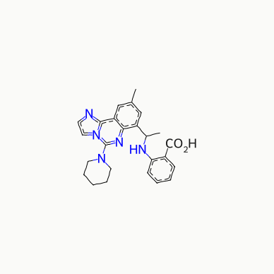 Cc1cc(C(C)Nc2ccccc2C(=O)O)c2nc(N3CCCCC3)n3ccnc3c2c1